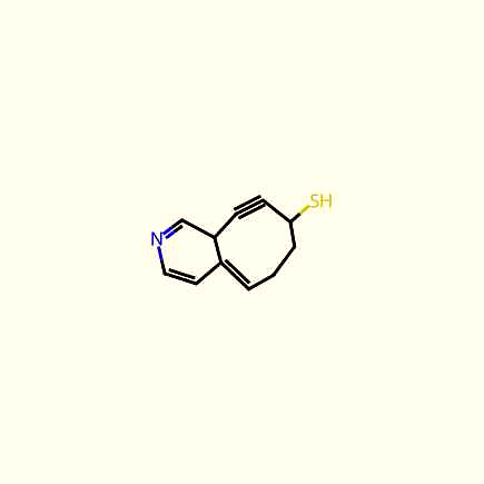 SC1C#CC2C=NC=C/C2=C/CC1